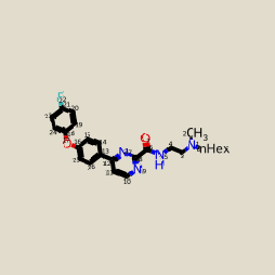 CCCCCCN(C)CCNC(=O)c1nccc(-c2ccc(Oc3ccc(F)cc3)cc2)n1